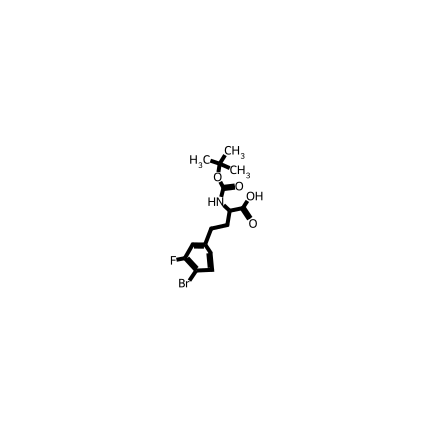 CC(C)(C)OC(=O)NC(CCc1ccc(Br)c(F)c1)C(=O)O